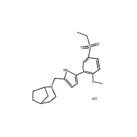 CCS(=O)(=O)c1ccc(OC)c(-c2ccc(CN3CCC4CCC3C4)[nH]2)c1.Cl